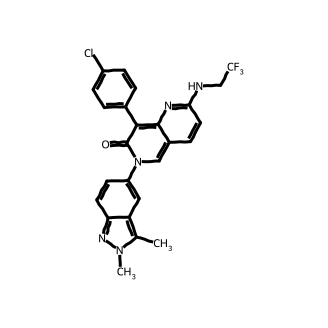 Cc1c2cc(-n3cc4ccc(NCC(F)(F)F)nc4c(-c4ccc(Cl)cc4)c3=O)ccc2nn1C